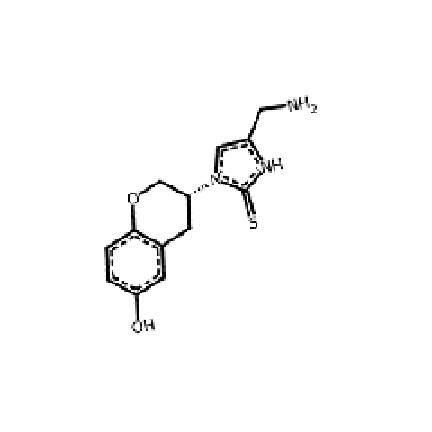 NCc1cn([C@H]2COc3ccc(O)cc3C2)c(=S)[nH]1